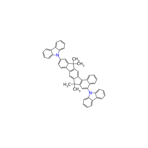 CC1(C)c2cc(-n3c4ccccc4c4ccccc43)ccc2-c2cc3c(cc21)-c1c(cc(-n2c4ccccc4c4ccccc42)c2ccccc12)C3(C)C